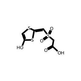 O=C(O)CS(=O)(=O)C=C1SC=C(O)S1